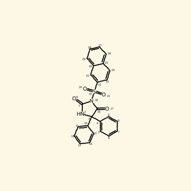 O=C1NC(c2ccccc2)(c2ccccc2)C(=O)N1S(=O)(=O)c1ccc2ccccc2c1